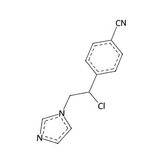 N#Cc1ccc(C(Cl)Cn2ccnc2)cc1